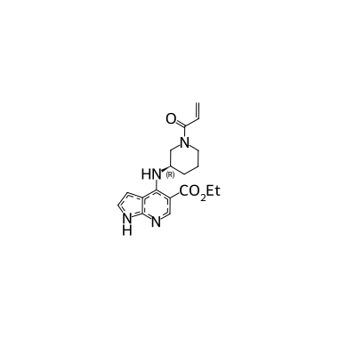 C=CC(=O)N1CCC[C@@H](Nc2c(C(=O)OCC)cnc3[nH]ccc23)C1